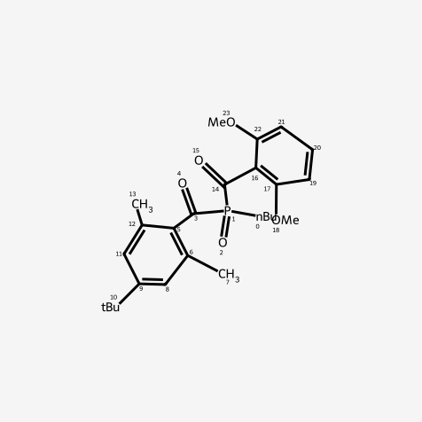 CCCCP(=O)(C(=O)c1c(C)cc(C(C)(C)C)cc1C)C(=O)c1c(OC)cccc1OC